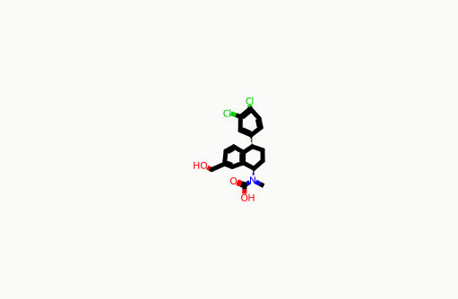 CN(C(=O)O)[C@H]1CC[C@@H](c2ccc(Cl)c(Cl)c2)c2ccc(CO)cc21